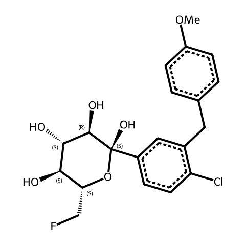 COc1ccc(Cc2cc([C@]3(O)O[C@H](CF)[C@@H](O)[C@H](O)[C@H]3O)ccc2Cl)cc1